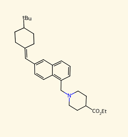 CCOC(=O)C1CCN(Cc2cccc3cc(C=C4CCC(C(C)(C)C)CC4)ccc23)CC1